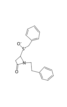 O=C1CC([S+]([O-])Cc2ccccc2)N1CCc1ccccc1